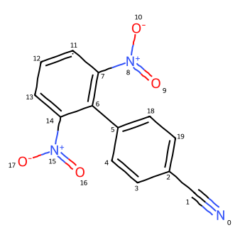 N#Cc1ccc(-c2c([N+](=O)[O-])[c]ccc2[N+](=O)[O-])cc1